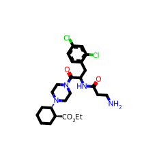 CCOC(=O)[C@H]1CCCC[C@@H]1N1CCN(C(=O)C(Cc2ccc(Cl)cc2Cl)NC(=O)CCN)CC1